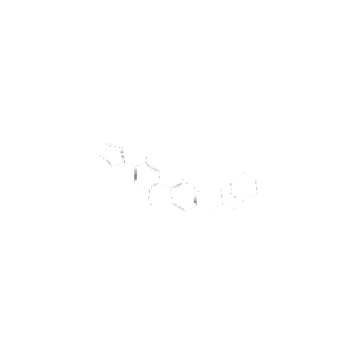 Oc1cc(-c2cn[nH]c2)c(F)cc1-c1ccc(OC2CC3CCCC(C2)N3)nn1